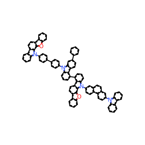 c1ccc(-c2ccc3c4c(-c5cccc6c5c5ccc7c8ccccc8oc7c5n6-c5ccc6c(ccc7cc(-n8c9ccccc9c9ccccc98)ccc76)c5)cccc4n(-c4ccc(-c5ccc(-n6c7ccccc7c7ccc8c9ccccc9oc8c76)cc5)cc4)c3c2)cc1